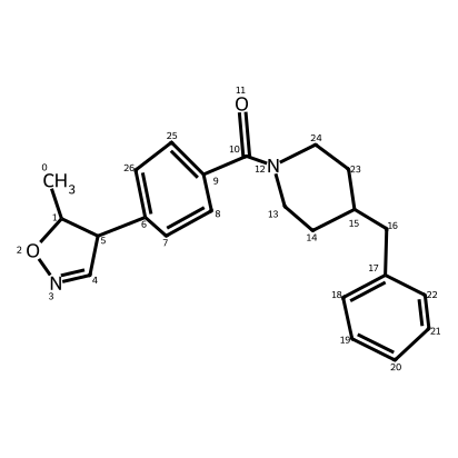 CC1ON=CC1c1ccc(C(=O)N2CCC(Cc3ccccc3)CC2)cc1